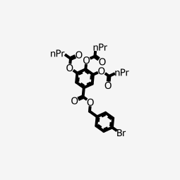 CCCC(=O)Oc1cc(C(=O)OCc2ccc(Br)cc2)cc(OC(=O)CCC)c1OC(=O)CCC